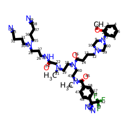 COc1ccccc1N1CCN(CCCC(=O)N(CCN(C)CC(=O)NCCCN(CCCC#N)CCCC#N)CCN(C)C(=O)c2ccc(C3(C(F)(F)F)N=N3)cc2)CC1